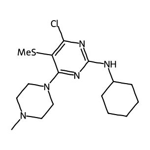 CSc1c(Cl)nc(NC2CCCCC2)nc1N1CCN(C)CC1